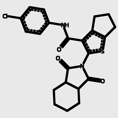 O=C(Nc1ccc(Cl)cc1)c1c(N2C(=O)C3CCCCC3C2=O)sc2c1CCC2